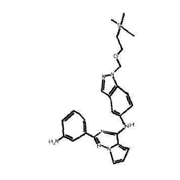 C[Si](C)(C)CCOCn1ncc2cc(Nc3nc(-c4cccc(N)c4)nn4cccc34)ccc21